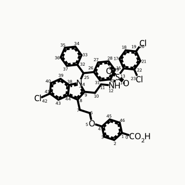 O=C(O)c1ccc(OCCc2c(CCNS(=O)(=O)c3ccc(Cl)cc3Cl)n(C(c3ccccc3)c3ccccc3)c3ccc(Cl)cc23)cc1